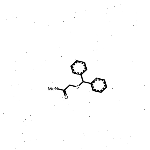 CNC(=O)CSC(c1ccccc1)c1ccccc1